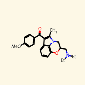 CCN(CC)CC1Cn2c(C)c(C(=O)c3ccc(OC)cc3)c3cccc(c32)O1